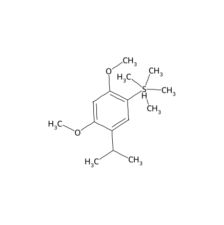 COc1cc(OC)c([SH](C)(C)(C)C)cc1C(C)C